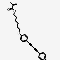 C=C(C)C(=O)OCCCCCCOc1ccc(C#CC#Cc2ccc(C)cc2)cc1